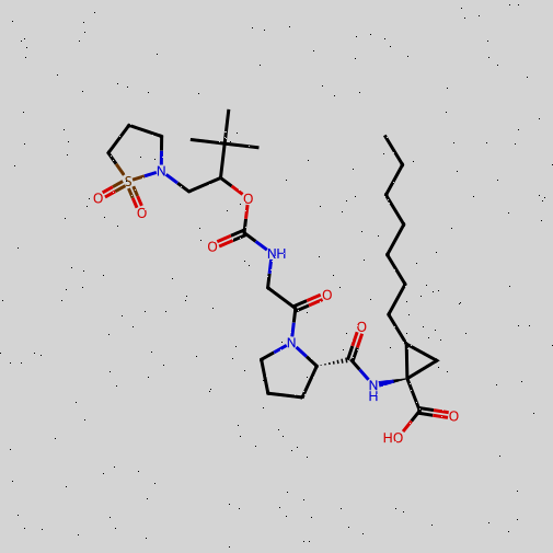 CCCCCCCC1C[C@]1(NC(=O)[C@@H]1CCCN1C(=O)CNC(=O)OC(CN1CCCS1(=O)=O)C(C)(C)C)C(=O)O